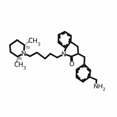 C[C@@H]1CCC[C@H](C)N1CCCCCN1C(=O)C(Cc2cccc(CN)c2)Cc2ccccc21